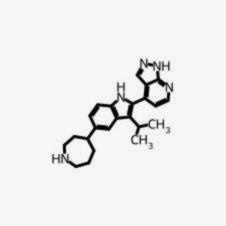 CC(C)c1c(-c2ccnc3[nH]ncc23)[nH]c2ccc(C3CCCNCC3)cc12